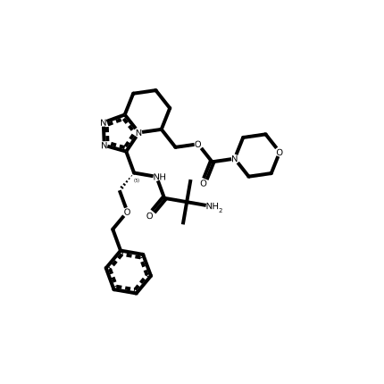 CC(C)(N)C(=O)N[C@H](COCc1ccccc1)c1nnc2n1C(COC(=O)N1CCOCC1)CCC2